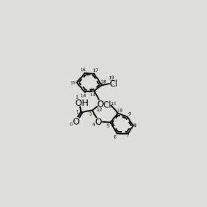 O=C(O)C(Oc1ccccc1Cl)Oc1ccccc1Cl